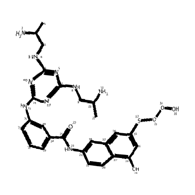 CC(N)CNc1nc(NCC(C)N)nc(Nc2cccc(C(=O)Nc3ccc4c(O)cc(SOOO)cc4c3)c2)n1